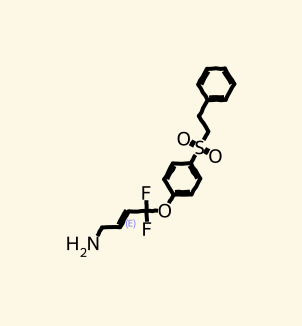 NC/C=C/C(F)(F)Oc1ccc(S(=O)(=O)CCc2ccccc2)cc1